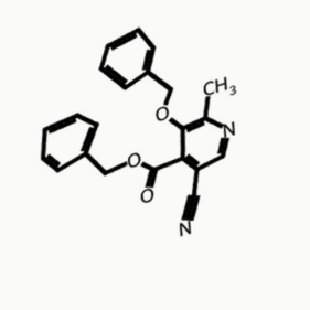 Cc1ncc(C#N)c(C(=O)OCc2ccccc2)c1OCc1ccccc1